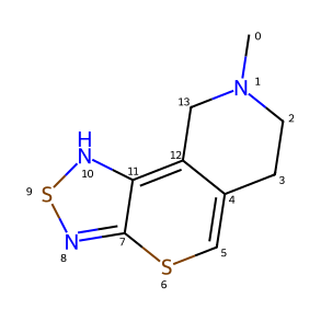 CN1CCC2=CSC3=NSNC3=C2C1